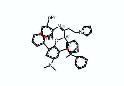 CCCc1cccc(CCC)c1/N=C(/CCn1cccc1)[C@@H](/C=C/C(C)(C)c1ccccc1)Oc1c(-c2ccccc2)cc(N(C)C)cc1-c1ccccc1